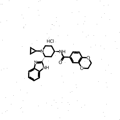 Cl.O=C(N[C@@H]1CCN(C2CC2)[C@@H](c2nc3ccccc3[nH]2)C1)c1ccc2c(c1)OCCO2